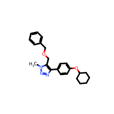 Cn1nnc(-c2ccc(OC3CCCCC3)cc2)c1COCc1ccccc1